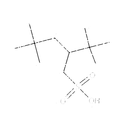 CC(C)(C)CC(CS(=O)(=O)O)C(C)(C)C